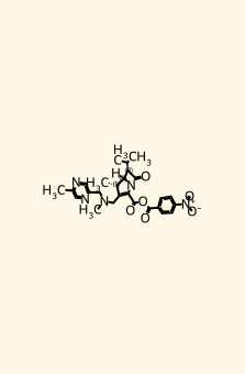 Cc1cnc(CN(C)CC2=C(C(=O)OC(=O)c3ccc([N+](=O)[O-])cc3)N3C(=O)[C@H](C(C)C)[C@H]3[C@H]2C)cn1